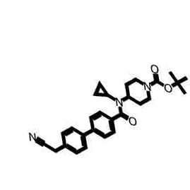 CC(C)(C)OC(=O)N1CCC(N(C(=O)c2ccc(-c3ccc(CC#N)cc3)cc2)C2CC2)CC1